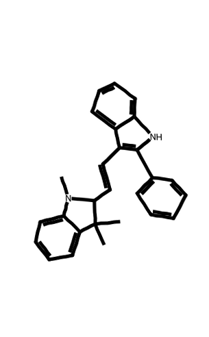 CN1c2ccccc2C(C)(C)C1/C=C/c1c(-c2ccccc2)[nH]c2ccccc12